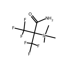 C[Si](C)(C)C(C(N)=O)(C(F)(F)F)C(F)(F)F